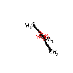 CCCCCCCCCCCCCCOC[C@@H](OC)[C@@H](O)[C@H](O)[C@@H](COCCCCCCCCCCCCCC)OC